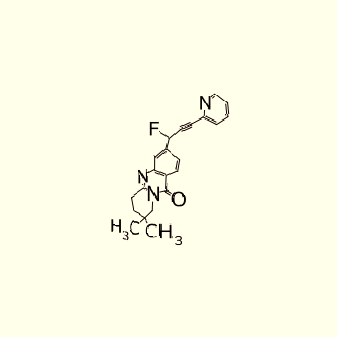 CC1(C)CCc2nc3cc(C(F)C#Cc4ccccn4)ccc3c(=O)n2C1